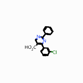 O=C(O)c1cnc(-c2ccccc2)nc1-c1cccc(Cl)c1